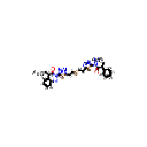 CC(=O)OCC(C(=O)Nc1nnc(CCSCCc2nnc(NC(=O)C(COC(C)=O)c3ccccc3)s2)s1)c1ccccc1